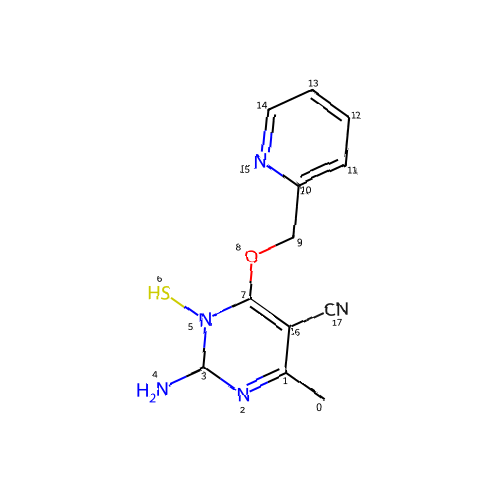 CC1=NC(N)N(S)C(OCc2ccccn2)=C1C#N